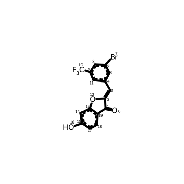 O=C1C(=Cc2cc(Br)cc(C(F)(F)F)c2)Oc2cc(O)ccc21